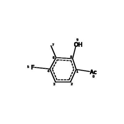 CC(=O)c1ccc(F)c(C)c1O